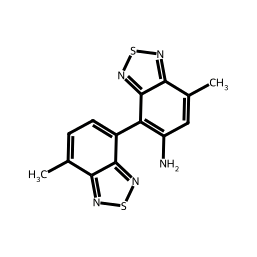 Cc1ccc(-c2c(N)cc(C)c3nsnc23)c2nsnc12